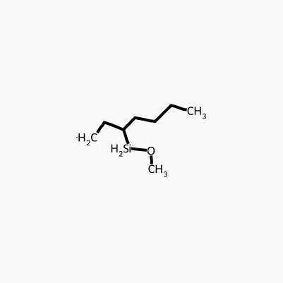 [CH2]CC(CCCC)[SiH2]OC